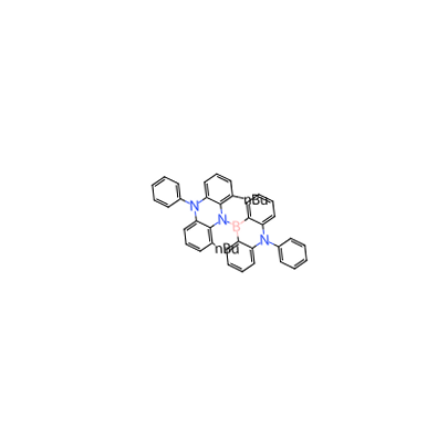 CCCCc1cccc2c1N(B1c3ccccc3N(c3ccccc3)c3ccccc31)c1c(CCCC)cccc1N2c1ccccc1